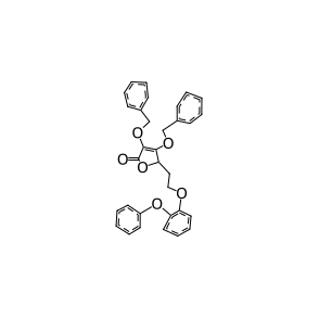 O=C1OC(CCOc2ccccc2Oc2ccccc2)C(OCc2ccccc2)=C1OCc1ccccc1